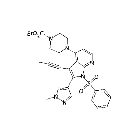 CC#Cc1c(-c2cnn(C)c2)n(S(=O)(=O)c2ccccc2)c2nccc(N3CCN(C(=O)OCC)CC3)c12